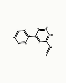 O=[C]c1cc(-c2ccccc2)cnn1